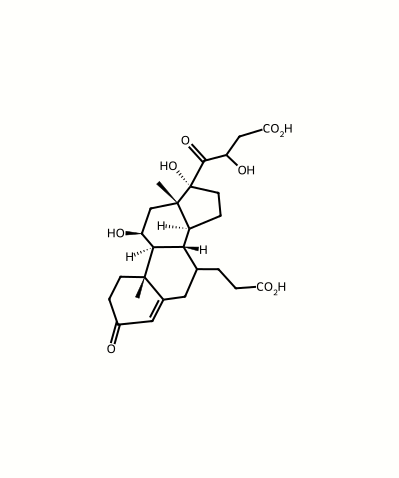 C[C@]12CCC(=O)C=C1CC(CCC(=O)O)[C@@H]1[C@@H]2[C@@H](O)C[C@@]2(C)[C@H]1CC[C@]2(O)C(=O)C(O)CC(=O)O